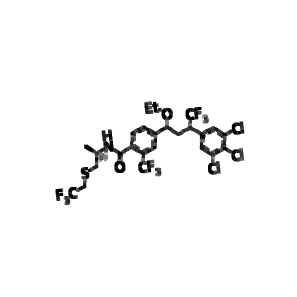 CCOC(CC(c1cc(Cl)c(Cl)c(Cl)c1)C(F)(F)F)c1ccc(C(=O)N[C@H](C)CSCC(F)(F)F)c(C(F)(F)F)c1